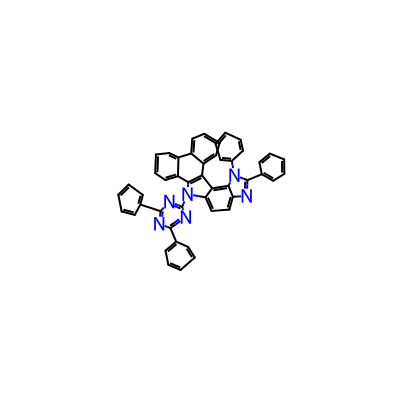 c1ccc(-c2nc(-c3ccccc3)nc(-n3c4ccc5nc(-c6ccccc6)n(-c6ccccc6)c5c4c4c5ccccc5c5ccccc5c43)n2)cc1